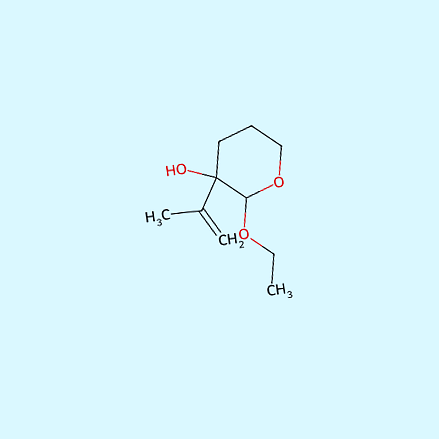 C=C(C)C1(O)CCCOC1OCC